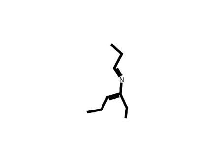 CCC=NC(=CCC)CC